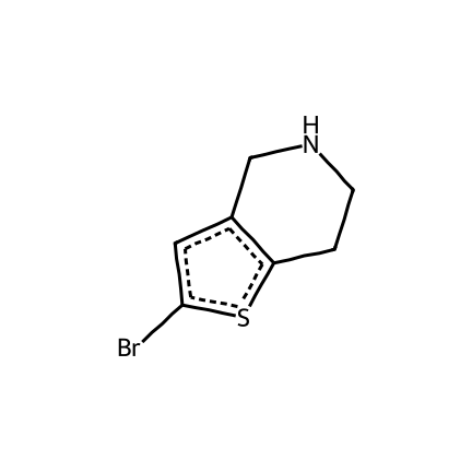 Brc1cc2c(s1)CCNC2